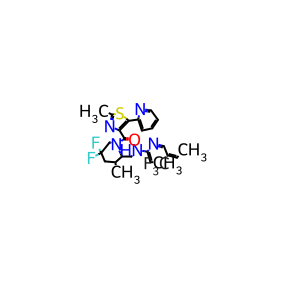 C\C=C(/N=C\C(=C/C)C(F)(F)F)NCC1C(C)CC(F)(F)CN1C(=O)c1nc(C)sc1-c1ccccn1